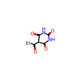 CCC(=O)C1C(=O)NC(=O)NC1=O